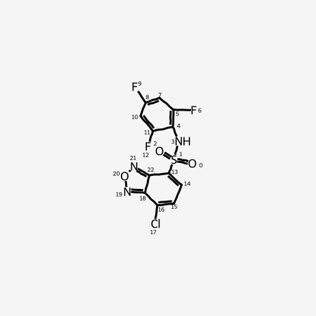 O=S(=O)(Nc1c(F)cc(F)cc1F)c1ccc(Cl)c2nonc12